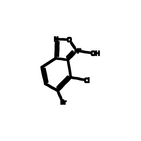 O[n+]1onc2ccc(Br)c(Cl)c21